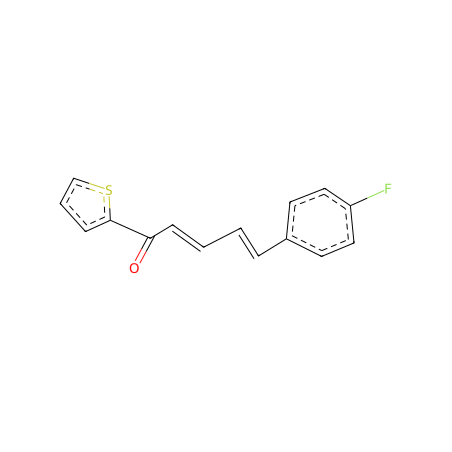 O=C(/C=C/C=C/c1ccc(F)cc1)c1cccs1